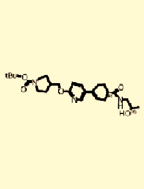 C[C@@H](O)CNC(=O)[C@H]1CC=C(c2ccc(OCC3CCN(C(=O)OC(C)(C)C)CC3)nc2)CC1